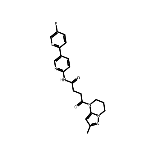 Cc1cc2n(n1)CCCN2C(=O)CCC(=O)Nc1ccc(-c2ccc(F)cn2)cn1